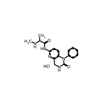 CNC(C)C(=O)Nc1ccc2c(n1)CNC(=O)N2c1ccccc1.Cl